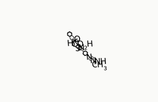 CC(=N)N1CCN(c2ccc(-c3csc(CNC(=O)C4(CC(=O)O)Cc5ccccc5C4)n3)cc2)CC1